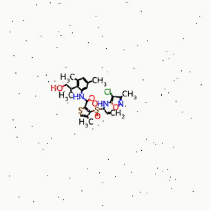 C=CC(Nc1onc(C)c1Cl)S(=O)(=O)c1c(C)csc1C(=O)Nc1cc(C)cc(C)c1C(C)CO